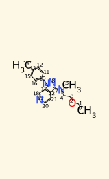 CCOCCN(C)c1nn(-c2ccc(C)cc2)c2cnccc12